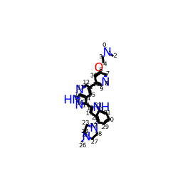 CN(C)CCOc1cncc(-c2cnc3[nH]nc(-c4cc5c(N6CCN(C)CC6)cccc5[nH]4)c3c2)c1